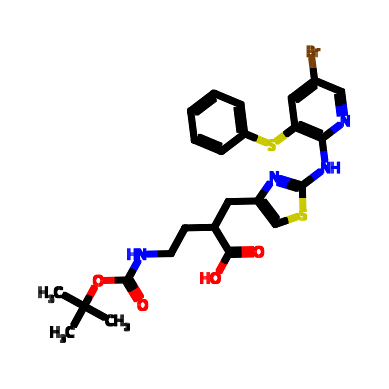 CC(C)(C)OC(=O)NCCC(Cc1csc(Nc2ncc(Br)cc2Sc2ccccc2)n1)C(=O)O